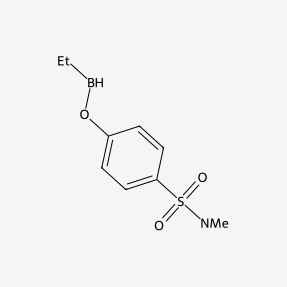 CCBOc1ccc(S(=O)(=O)NC)cc1